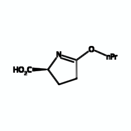 CCCOC1=N[C@H](C(=O)O)CC1